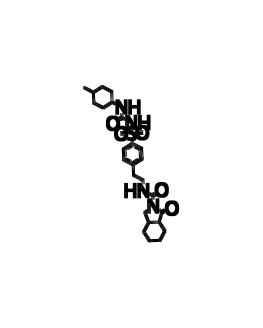 CC1CCC(NC(=O)NS(=O)(=O)c2ccc(CCNC(=O)N3CC4CCCCC4C3=O)cc2)CC1